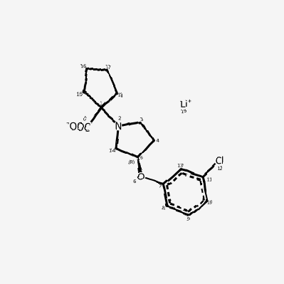 O=C([O-])C1(N2CC[C@@H](Oc3cccc(Cl)c3)C2)CCCC1.[Li+]